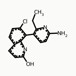 CCc1nc(N)ccc1-c1c(Cl)ccc2ccc(O)nc12